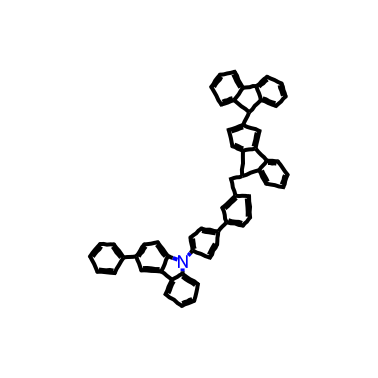 c1ccc(-c2ccc3c(c2)c2ccccc2n3-c2ccc(-c3cccc(CC4c5ccccc5-c5cc(C6c7ccccc7-c7ccccc76)ccc54)c3)cc2)cc1